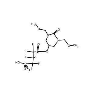 COCN1CC(OS(=O)(=O)C(F)(F)C(F)(F)C(F)(F)S(=O)(=O)O)CN(COC)C1=O